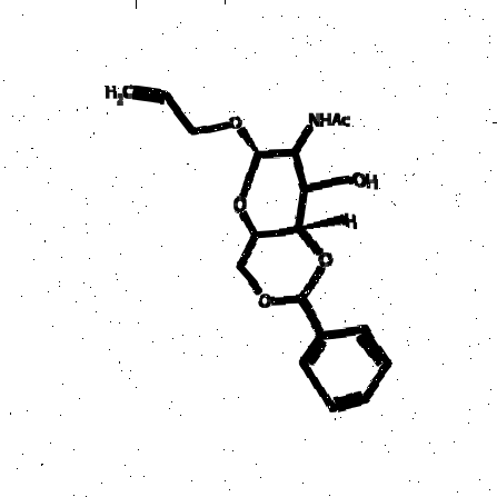 C=CCO[C@@H]1OC2COC(c3ccccc3)O[C@H]2C(O)C1NC(C)=O